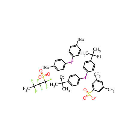 CC(C)(C)c1ccc([I+]c2ccc(C(C)(C)C)cc2)cc1.CCC(C)(C)c1ccc([I+]c2ccc(C(C)(C)CC)cc2)cc1.O=S(=O)([O-])C(F)(F)C(F)(F)C(F)(F)C(F)(F)F.O=S(=O)([O-])c1cc(C(F)(F)F)cc(C(F)(F)F)c1